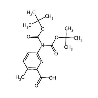 Cc1ccc(N(C(=O)OC(C)(C)C)C(=O)OC(C)(C)C)nc1C(=O)O